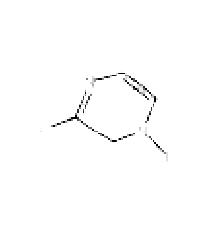 OC1=NC=CN(F)C1